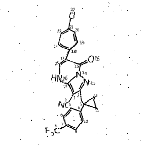 N#Cc1c(C2(c3ccc(C(F)(F)F)cc3)CC2)nn2c(=O)c(-c3ccc(Cl)cc3)c[nH]c12